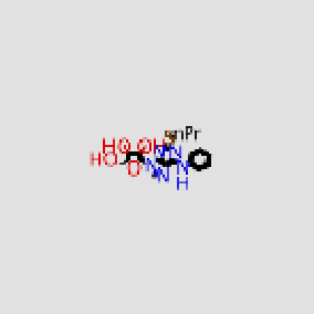 CCCSc1nc(NC2CCCCC2)c2ncn([C@@H]3O[C@H](CO)[C@@H](O)[C@H]3O)c2n1